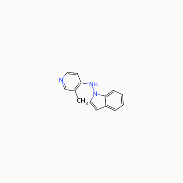 Cc1cnccc1Nn1ccc2ccccc21